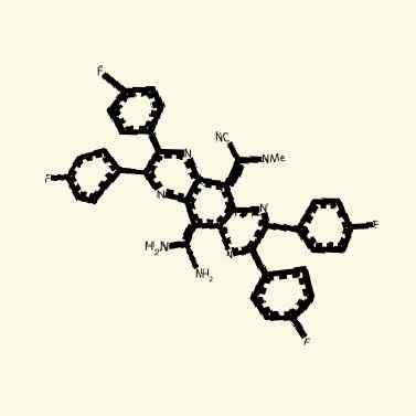 CNC(C#N)=c1c2nc(-c3ccc(F)cc3)c(-c3ccc(F)cc3)nc2c(=C(N)N)c2nc(-c3ccc(F)cc3)c(-c3ccc(F)cc3)nc12